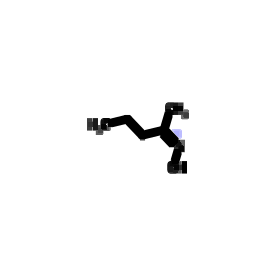 CC[CH]/C(C)=N\O